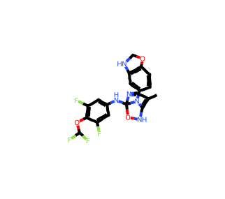 CC1=C2NOC(Nc3cc(F)c(OC(F)F)c(F)c3)(N=C1)N2c1ccc2c(c1)NCO2